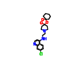 Clc1ccc2c(NCCN3CCC4(CC3)OOC3(CCCCC3)O4)ccnc2c1